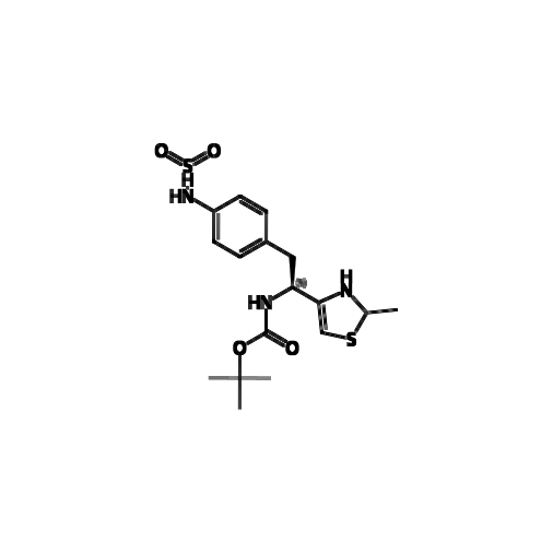 CC1NC([C@H](Cc2ccc(N[SH](=O)=O)cc2)NC(=O)OC(C)(C)C)=CS1